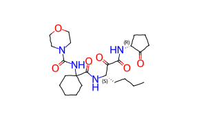 CCCC[C@H](NC(=O)C1(NC(=O)N2CCOCC2)CCCCC1)C(=O)C(=O)N[C@@H]1CCCC1=O